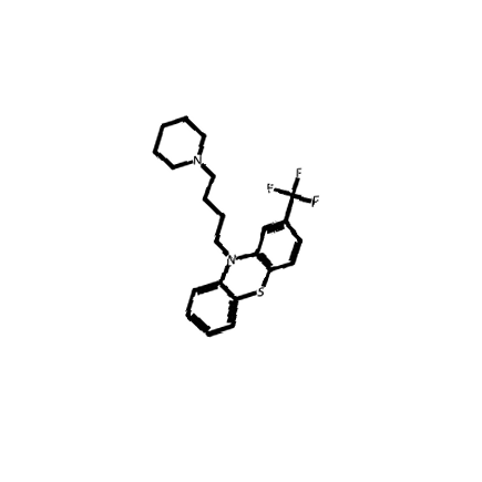 FC(F)(F)c1ccc2c(c1)N(CCCCN1CCCCC1)c1ccccc1S2